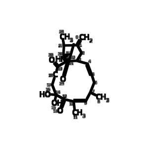 C=C1CC2/C=C\CC(C)/C=C(/C)C(=O)C(O)(O)CCC(=O)C23C(=O)NCC3C1C